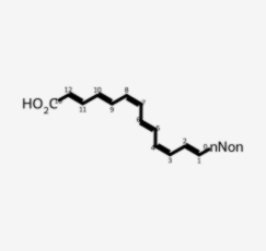 CCCCCCCCC/C=C/C=C\C=C\C=C/C=C/C=C/C(=O)O